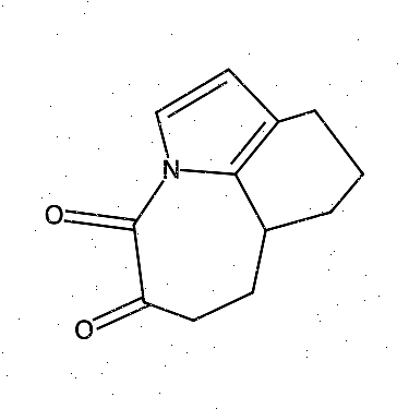 O=C1CCC2CCCc3ccn(c32)C1=O